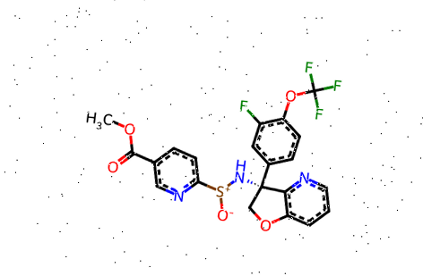 COC(=O)c1ccc([S+]([O-])N[C@@]2(c3ccc(OC(F)(F)F)c(F)c3)COc3cccnc32)nc1